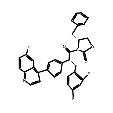 O=C1OC[C@@H](Cc2ccccc2)N1C(=O)[C@H](Cc1ccc(F)cc1F)c1ccc(-c2ccnc3ccc(F)cc23)cc1